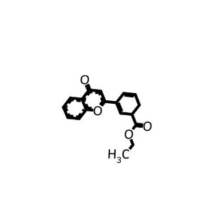 CCOC(=O)C1C=C(c2cc(=O)c3ccccc3o2)C=CC1